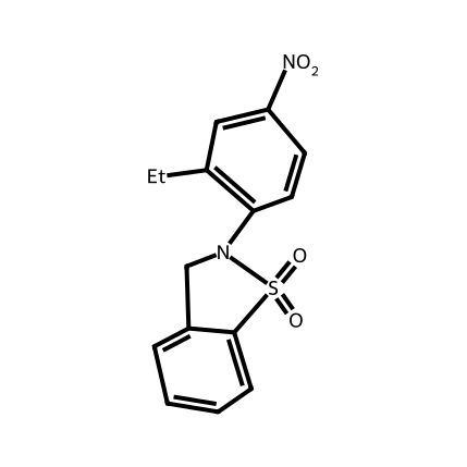 CCc1cc([N+](=O)[O-])ccc1N1Cc2ccccc2S1(=O)=O